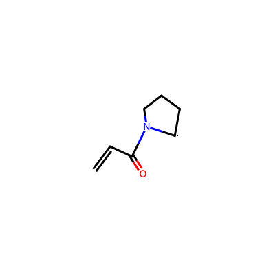 C=CC(=O)N1[CH]CCC1